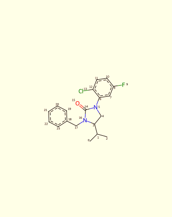 CC(C)C1CN(c2cc(F)ccc2Cl)C(=O)N1Cc1ccccc1